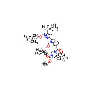 CCCCOC(=O)N1CCN(C(=O)c2ccc3cc(-c4nn(COCC[Si](C)(C)C)c5c4CCC(C)(C)C5)n(COCC[Si](C)(C)C)c3c2)C(C)(C)C1